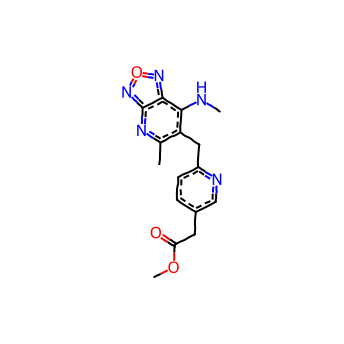 CNc1c(Cc2ccc(CC(=O)OC)cn2)c(C)nc2nonc12